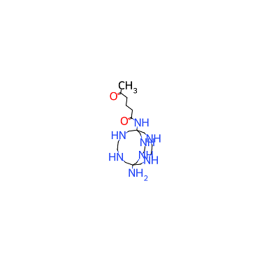 CC(=O)CCCC(=O)NC12CNCCNCC(N)(CNCCNC1)CNCCNC2